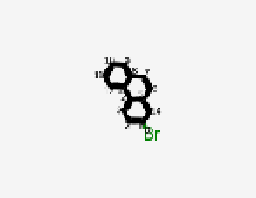 Brc1ccc2c(ccc3ccccc32)c1